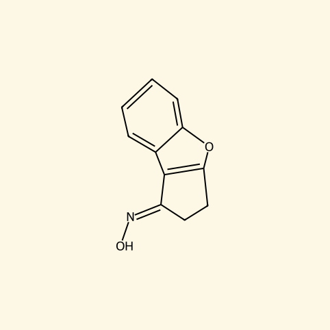 O/N=C1\CCc2oc3ccccc3c21